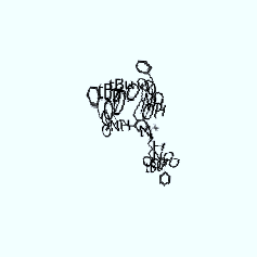 CC(C)(C)OC(=O)C(CCc1c[n+](CCCCC(C=O)(NC(=O)OCc2ccccc2)OC(C)(C)C)cc(O)c1CC(NC(=O)OCc1ccccc1)C(=O)OC(C)(C)C)NC(=O)OCc1ccccc1